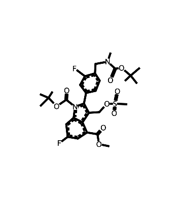 COC(=O)c1cc(F)cc2c1c(COS(C)(=O)=O)c(-c1ccc(CN(C)C(=O)OC(C)(C)C)c(F)c1)n2C(=O)OC(C)(C)C